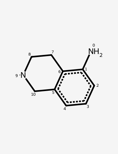 Nc1cccc2c1CC[N]C2